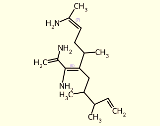 C=CC(C)C(C)C/C(=C(\N)C(=C)N)C(C)C/C=C(/C)N